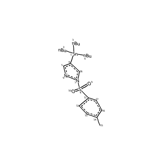 CCC[CH2][Sn]([CH2]CCC)([CH2]CCC)[c]1cnn(S(=O)(=O)c2ccc(C)cc2)c1